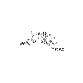 C=C(CC(=O)C(C)CCCC1(C)OCC(=CCOC(C)=O)CCC1OC(C)=O)C(C)C